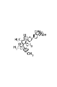 COc1ccc(C2CCN(c3c(C)c(C)c4c(c3C)C(c3ccc(C)cc3)C(C)(C)O4)CC2)cc1OC